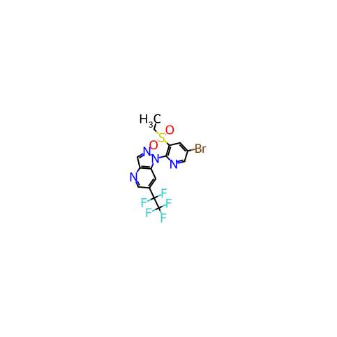 CCS(=O)(=O)c1cc(Br)cnc1-n1ncc2ncc(C(F)(F)C(F)(F)F)cc21